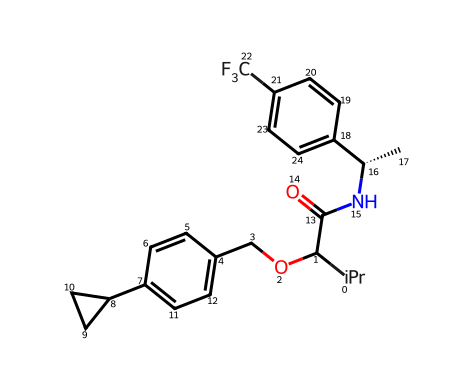 CC(C)C(OCc1ccc(C2CC2)cc1)C(=O)N[C@@H](C)c1ccc(C(F)(F)F)cc1